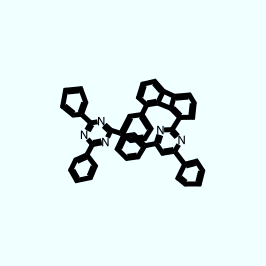 c1ccc(-c2cc(-c3ccccc3)nc(-c3cccc4c3-c3c(-c5cccc(-c6nc(-c7ccccc7)nc(-c7ccccc7)n6)c5)cccc3-4)n2)cc1